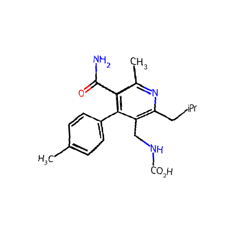 Cc1ccc(-c2c(CNC(=O)O)c(CC(C)C)nc(C)c2C(N)=O)cc1